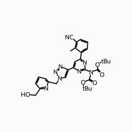 Cc1c(C#N)cccc1-c1cc(-c2cn(Cc3cccc(CO)n3)nn2)nc(N(C(=O)OC(C)(C)C)C(=O)OC(C)(C)C)n1